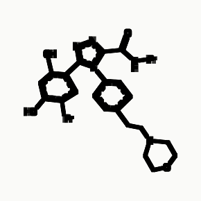 CC(C)NC(=O)c1nnc(-c2cc(C(C)C)c(O)cc2O)n1-c1ccc(CCN2CCOCC2)cc1